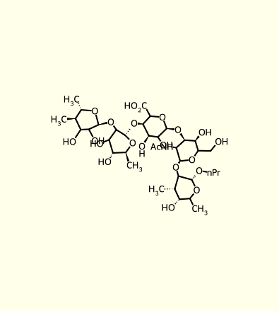 CCCO[C@@H]1OC(C)[C@H](O)[C@H](C)C1O[C@@H]1OC(CO)[C@H](O)[C@H](O[C@@H]2OC(C(=O)O)[C@H](O[C@@H]3O[C@@H](C)[C@H](O)C(O)C3O[C@@H]3O[C@@H](C)[C@H](C)C(O)C3O)[C@H](O)C2O)C1NC(C)=O